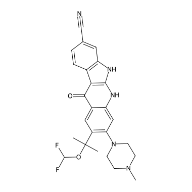 CN1CCN(c2cc3[nH]c4[nH]c5cc(C#N)ccc5c4c(=O)c3cc2C(C)(C)OC(F)F)CC1